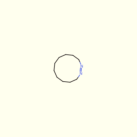 C1CCCCCN=NCCCC1